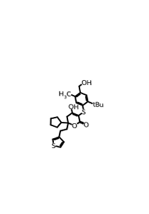 Cc1cc(SC2=C(O)CC(CCc3ccsc3)(C3CCCC3)OC2=O)c(C(C)(C)C)cc1CO